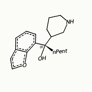 CCCCC[C@@](O)(c1cccc2ccoc12)C1CCCNC1